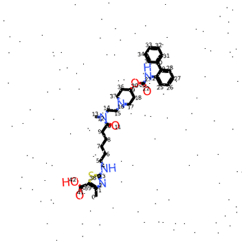 Cc1nc(NCCCCCC(=O)N(C)CCN2CCC(OC(=O)Nc3ccccc3-c3ccccc3)CC2)sc1C(=O)O